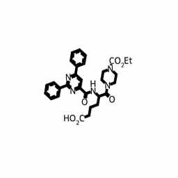 CCOC(=O)N1CCN(C(=O)C(CCCC(=O)O)NC(=O)c2cc(-c3ccccc3)nc(-c3ccccc3)n2)CC1